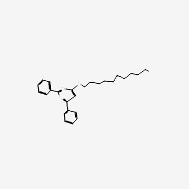 CCCCCCCCCCCNc1cc(-c2ccccc2)nc(-c2ccccc2)n1